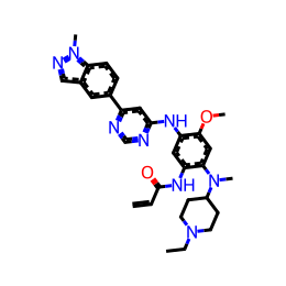 C=CC(=O)Nc1cc(Nc2cc(-c3ccc4c(cnn4C)c3)ncn2)c(OC)cc1N(C)C1CCN(CC)CC1